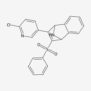 O=S(=O)(C1=C(c2ccc(Cl)nc2)C2NC1c1ccccc12)c1ccccc1